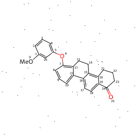 COc1cccc(Oc2cccc3c2CCc2c-3ccc3c2CCCC3=O)c1